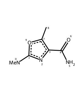 CNc1nc(C(N)=O)c(C)o1